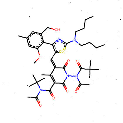 CCCCN(CCCC)c1nc(-c2c(CO)cc(C)cc2OC)c(/C=C2\C(=O)N(N(C(C)=O)C(=O)C(C)(C)C)C(=O)C(C(=O)N(C(C)=O)C(C)(C)C)=C2C)s1